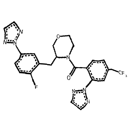 O=C(c1ccc(C(F)(F)F)cc1-n1nccn1)N1CCOCC1Cc1cc(-n2nccn2)ccc1F